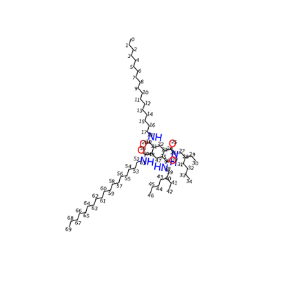 CCCCCCCCCCCCCCCCCCNC(=O)C1CC(C(=O)NCC(CC)CCCC)C(C(=O)NCC(CC)CCCC)CC1C(=O)NCCCCCCCCCCCCCCCCCC